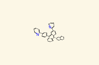 c1ccc(-c2ccc(-c3c4ccccc4c(-c4ccc5ccccc5c4)c4ccc(-c5ccccn5)cc34)cc2)nc1